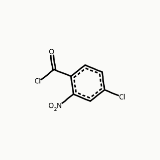 O=C(Cl)c1ccc(Cl)cc1[N+](=O)[O-]